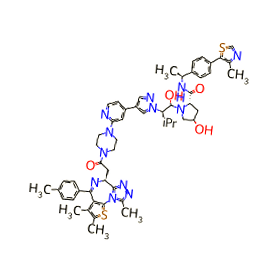 Cc1ccc(C2=N[C@@H](CC(=O)N3CCN(c4cc(-c5cnn([C@H](C(C)C)C(O)N6C[C@H](O)C[C@H]6C(=O)N[C@@H](C)c6ccc(-c7scnc7C)cc6)c5)ccn4)CC3)c3nnc(C)n3-c3sc(C)c(C)c32)cc1